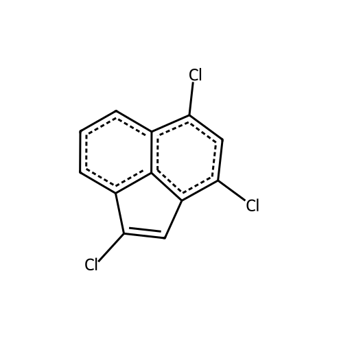 ClC1=Cc2c(Cl)cc(Cl)c3cccc1c23